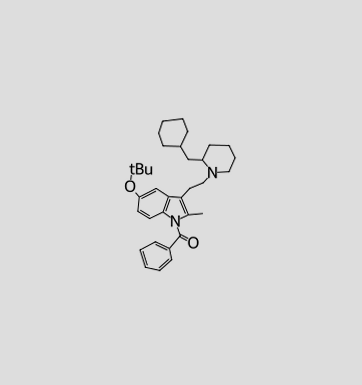 Cc1c(CCN2CCCCC2CC2CCCCC2)c2cc(OC(C)(C)C)ccc2n1C(=O)c1ccccc1